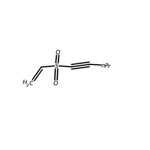 C=CS(=O)(=O)C#CCCC